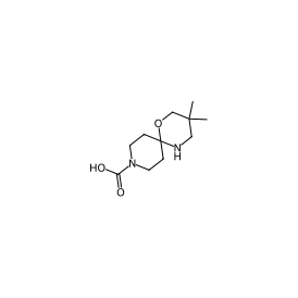 CC1(C)CNC2(CCN(C(=O)O)CC2)OC1